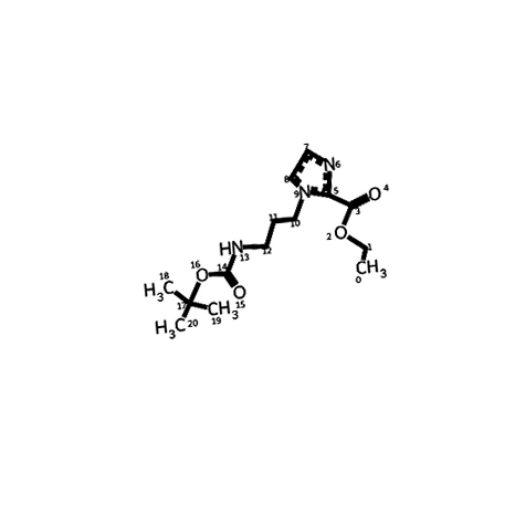 CCOC(=O)c1nccn1CCCNC(=O)OC(C)(C)C